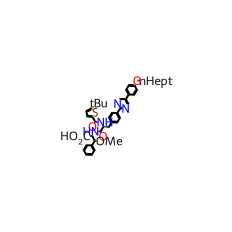 CCCCCCCOc1ccc(-c2cnc(-c3ccc(C[C@H](NC(=O)c4ccc(C(C)(C)C)s4)C(=O)NC(C(=O)O)C(OC)c4ccccc4)cc3)nc2)cc1